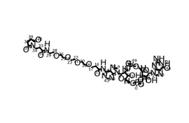 CP1(=O)OC[C@H]2O[C@@H](n3cnc4c(NC(=O)CCOCCOCCOCCOCCNC(=O)CCN5C(=O)C=CC5=O)ncnc43)[C@@H](OP(C)(=O)OC[C@H]3O[C@@H](n4cnc5c(=O)[nH]c(N)nc54)C(O)[C@H]3O1)C2O